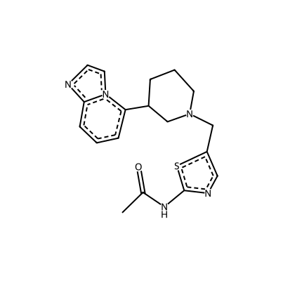 CC(=O)Nc1ncc(CN2CCCC(c3cccc4nccn34)C2)s1